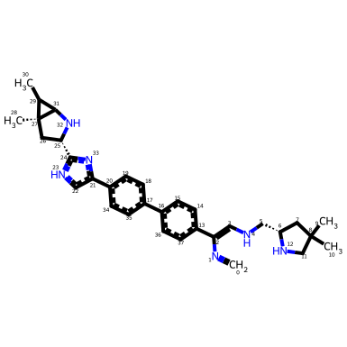 C=N/C(=C\NC[C@@H]1CC(C)(C)CN1)c1ccc(-c2ccc(-c3c[nH]c([C@@H]4C[C@@]5(C)C(C)C5N4)n3)cc2)cc1